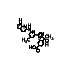 Cc1cc(Nc2ccc3cc[nH]c3n2)nc(-c2cnc(C(C)(O)c3ccc(C(=O)O)cc3)s2)c1